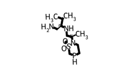 CC(C)[C@H](CN)NC[C@@H](C)N1CCPCS1(=O)=O